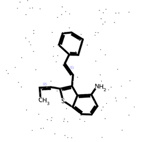 C/C=C\c1sc2cccc(N)c2c1/C=C/c1ccccc1